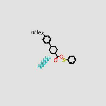 CCCCCCc1ccc(C2CCC(C(=O)OSc3ccccc3)CC2)cc1.F.F.F.F.F